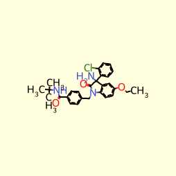 CCOc1ccc2c(c1)C(N)(c1ccccc1Cl)C(=O)N2Cc1ccc(C(=O)NC(C)(C)C)cc1